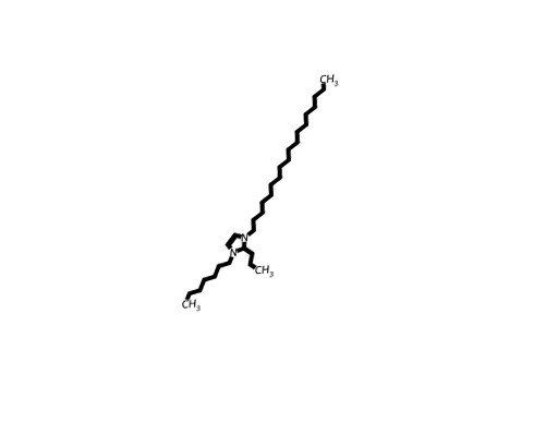 CCCCCCCCCCCCCCCCCCN1C=CN(CCCCCCC)C1CCC